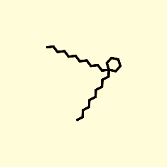 CCCCCCCCCCCC1(CCCCCCCCCC)CCCCC1